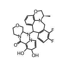 C[C@@H]1COc2cccc3c2N1Cc1c(ccc(F)c1F)C3N1C2COCCN2C(=O)C2=C(O)C(O)C=CN21